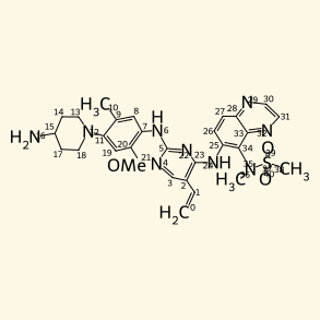 C=Cc1cnc(Nc2cc(C)c(N3CCC(N)CC3)cc2OC)nc1Nc1ccc2nccnc2c1N(C)S(C)(=O)=O